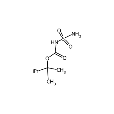 CC(C)C(C)(C)OC(=O)NS(N)(=O)=O